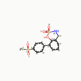 CC(C)S(=O)(=O)c1ccc(-c2cccc3c2OS(=O)(=O)NC3)cc1